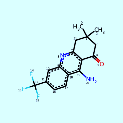 CC1(C)CC(=O)c2c(nc3cc(C(F)(F)F)ccc3c2N)C1